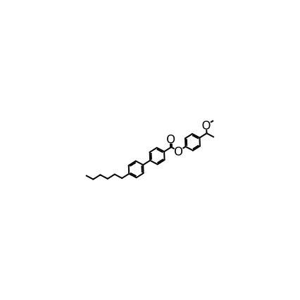 CCCCCCc1ccc(-c2ccc(C(=O)Oc3ccc(C(C)OC)cc3)cc2)cc1